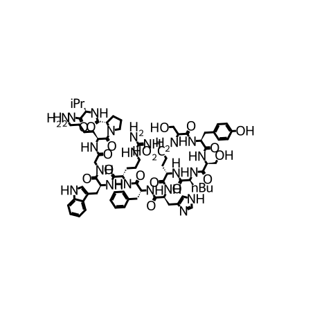 CCCC[C@H](NC(=O)[C@H](CO)NC(=O)[C@H](Cc1ccc(O)cc1)NC(=O)C(N)CO)C(=O)N[C@@H](CCC(=O)O)C(=O)N[C@@H](Cc1c[nH]cn1)C(=O)N[C@H](Cc1ccccc1)C(=O)N[C@@H](CCCNC(=N)N)C(=O)N[C@@H](Cc1c[nH]c2ccccc12)C(=O)NCC(=O)N[C@@H](CCCCN)C(=O)N1CCC[C@H]1C(=O)N[C@H](C(N)=O)C(C)C